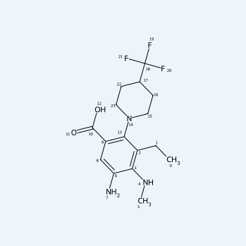 CCc1c(NC)c(N)cc(C(=O)O)c1N1CCC(C(F)(F)F)CC1